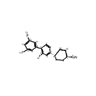 CCC[C@H]1CC[C@H](c2ccc(-c3cc(F)cc(F)c3)c(F)c2)CC1